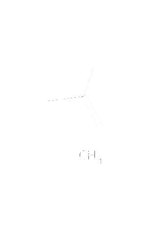 C.C=C(C)C